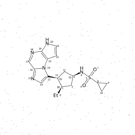 CC[C@@H]1C[C@H](NS(=O)(=O)C2CC2)C[C@@H]1c1cnc2cnc3[nH]ccc3n12